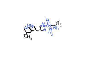 Cc1cnc2[nH]cc(Cc3cnc(N/C(N)=C/C(=N)C(F)(F)F)nc3)c2c1